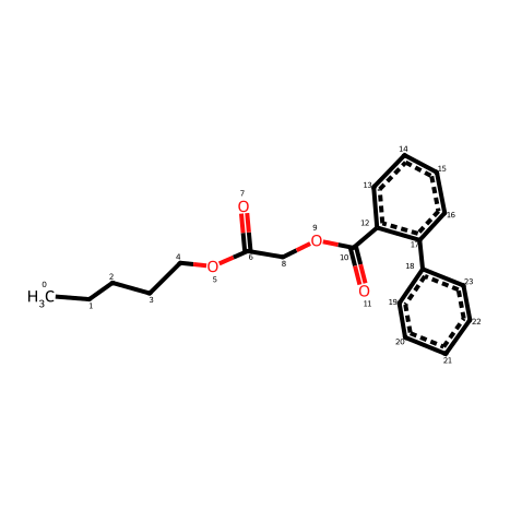 CCCCCOC(=O)COC(=O)c1ccccc1-c1ccccc1